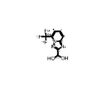 OC(O)c1nc2cccc(C(F)(F)F)n2n1